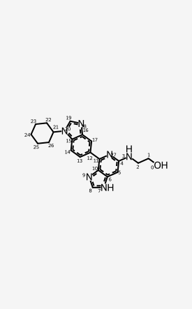 OCCNc1cc2[nH]cnc2c(-c2ccc3c(c2)ncn3C2CCCCC2)n1